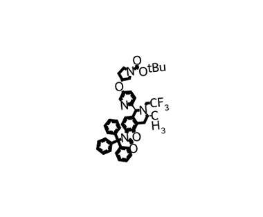 C[C@@H]1Cc2c(ccc3c2oc(=O)n3C(c2ccccc2)(c2ccccc2)c2ccccc2)[C@@H](c2ccc(O[C@H]3CCN(C(=O)OC(C)(C)C)C3)cn2)N1CC(F)(F)F